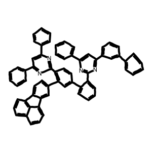 c1ccc(-c2cccc(-c3cc(-c4ccccc4)nc(-c4ccccc4-c4ccc(-c5nc(-c6ccccc6)cc(-c6ccccc6)n5)c(-c5ccc6c(c5)-c5cccc7cccc-6c57)c4)n3)c2)cc1